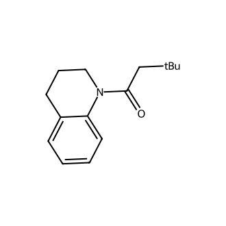 CC(C)(C)CC(=O)N1CCCc2ccccc21